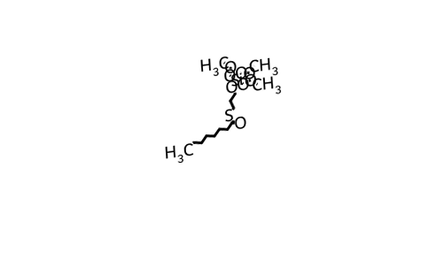 CCCCCCCC(=O)SCCCO[Si](OOC)(OOC)OOC